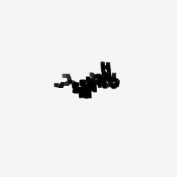 CCCCC(CC)CSc1nnc(N=Nc2cnc(Nc3c(C)cccc3C)cc2C)s1